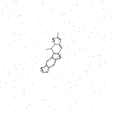 CC1=CC2=Cc3sc4cc5ccsc5cc4c3C(C)C2S1